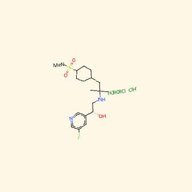 CNS(=O)(=O)C1CCC(CC(C)(C)NC[C@H](O)c2cncc(F)c2)CC1.Cl.Cl.Cl.Cl